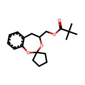 CC(C)(C)C(=O)OCC1Cc2ccccc2OC2(CCCC2)O1